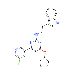 Fc1cncc(-c2cc(OC3CCCC3)nc(NCCc3c[nH]c4ccccc34)n2)c1